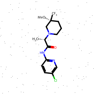 CO[C@]1(C(F)(F)F)CCCN([C@@H](C)C(=O)Nc2ccc(Cl)cn2)C1